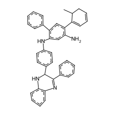 CC1CC=CC=C1c1cc(-c2ccccc2)c(Nc2ccc(C3Nc4ccccc4N=C3c3ccccc3)cc2)cc1N